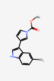 CC(C)(C)OC(=O)n1ccc(-c2c[nH]c3ccc([N+](=O)[O-])cc23)c1